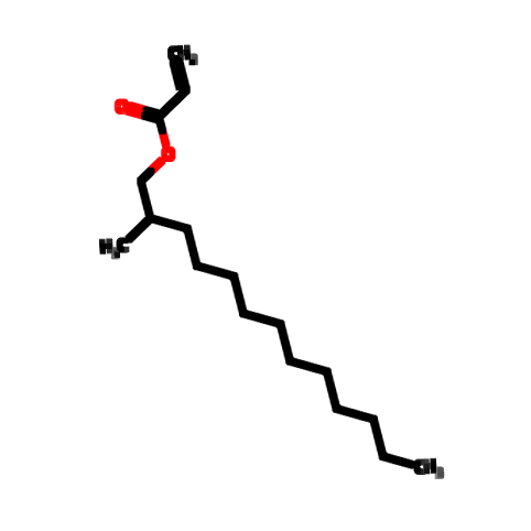 C=CC(=O)OCC(C)CCCCCCCCCCC